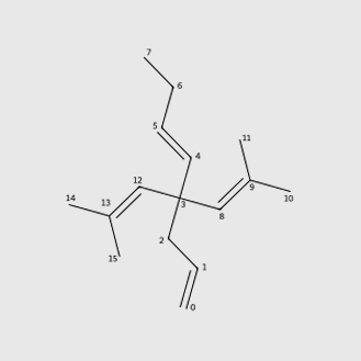 C=CCC(C=CCC)(C=C(C)C)C=C(C)C